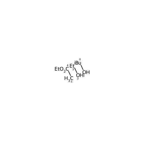 CCC(C)O.CCO.CCOC(C)=O